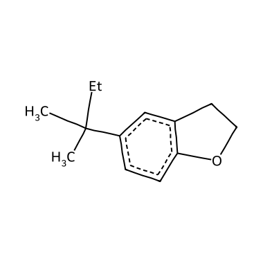 CCC(C)(C)c1ccc2c(c1)CCO2